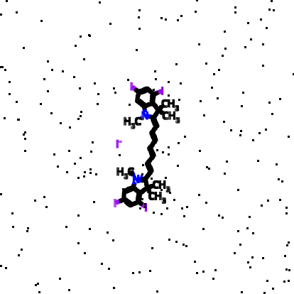 CN1C(=CC=CC=CC=CC2=[N+](C)c3cc(I)cc(I)c3C2(C)C)C(C)(C)c2c(I)cc(I)cc21.[I-]